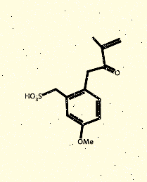 C=C(C)C(=O)Cc1ccc(OC)cc1CS(=O)(=O)O